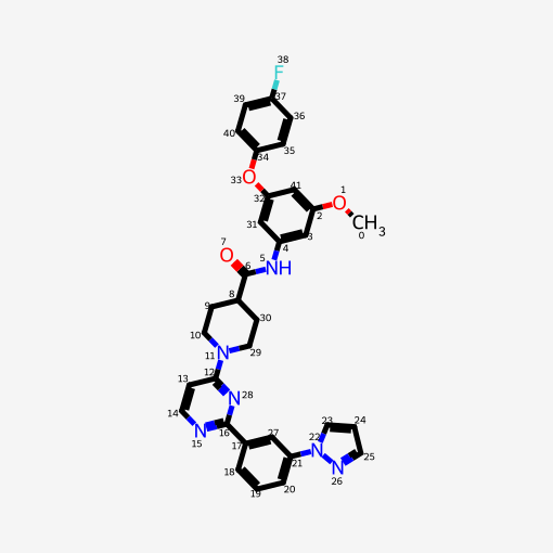 COc1cc(NC(=O)C2CCN(c3ccnc(-c4cccc(-n5cccn5)c4)n3)CC2)cc(Oc2ccc(F)cc2)c1